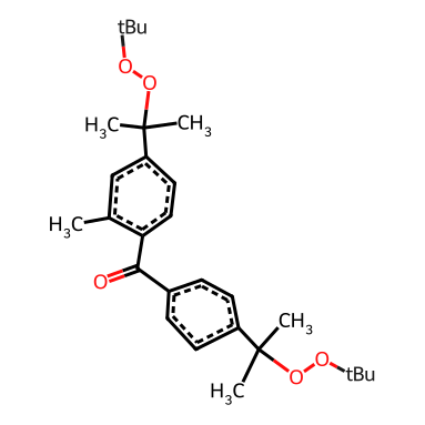 Cc1cc(C(C)(C)OOC(C)(C)C)ccc1C(=O)c1ccc(C(C)(C)OOC(C)(C)C)cc1